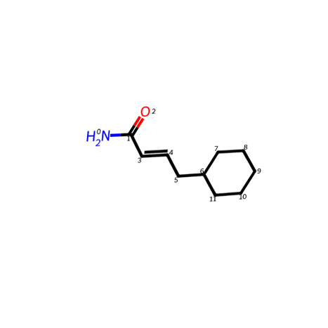 NC(=O)/C=C/CC1CCCCC1